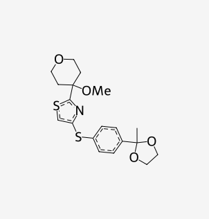 COC1(c2nc(Sc3ccc(C4(C)OCCO4)cc3)cs2)CCOCC1